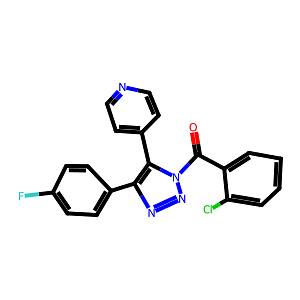 O=C(c1ccccc1Cl)n1nnc(-c2ccc(F)cc2)c1-c1ccncc1